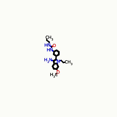 CCCNC(=O)Nc1cccc(-c2c(N)c3ccc(OC)cc3n2CCC)c1